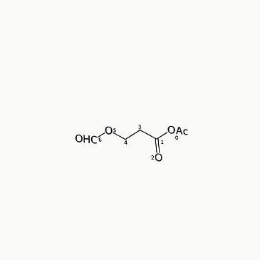 CC(=O)OC(=O)CCOC=O